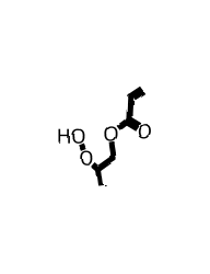 [CH2]C(COC(=O)C=C)OO